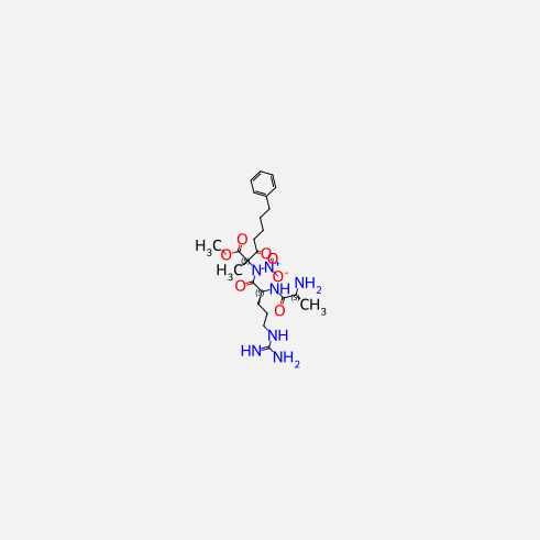 COC(=O)[C@](C)(C(=O)CCCCc1ccccc1)N(C(=O)[C@H](CCCNC(=N)N)NC(=O)[C@H](C)N)[N+](=O)[O-]